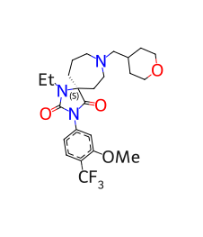 CCN1C(=O)N(c2ccc(C(F)(F)F)c(OC)c2)C(=O)[C@@]12CCCN(CC1CCOCC1)CC2